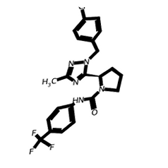 Cc1nc([C@H]2CCCN2C(=O)Nc2ccc(C(F)(F)F)cc2)n(Cc2ccc(Cl)cc2)n1